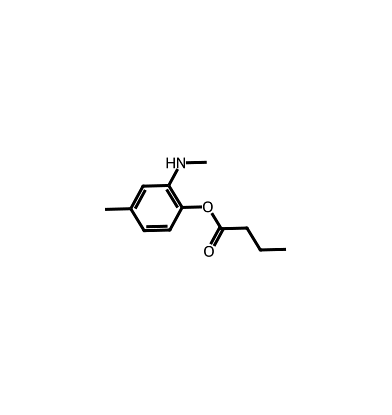 CCCC(=O)Oc1ccc(C)cc1NC